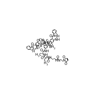 BC(B)(Oc1cc2c(cc1OC)C(=O)N1c3ccccc3C[C@H]1C=N2)c1cc(NC(=O)C(C)NC(=O)C(C)NC(=O)CCCCC(=O)NCCN2C(=O)C#CC2=O)cc(C(B)(B)Oc2cc3c(cc2OC)C(=O)N2c4ccccc4C[C@H]2CN3)c1